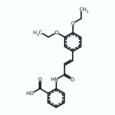 CCOc1ccc(/C=C/C(=O)Nc2ccccc2C(=O)O)cc1OCC